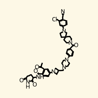 CC(=O)c1cc(N2CC(CN3CCN(c4ccc(C(=O)N5CCC6(CC5)CCN(c5ccc(C#N)c(Cl)c5)C6)cc4)CC3)C2)ccc1C(=O)NC1CCC(=O)NC1=O